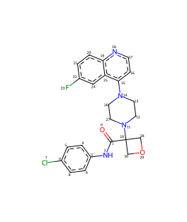 O=C(Nc1ccc(Cl)cc1)C1(N2CCN(c3ccnc4ccc(F)cc34)CC2)COC1